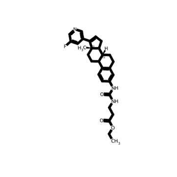 CCOC(=O)CCNC(=O)Nc1ccc2c(c1)CC[C@@H]1C2CC[C@]2(C)C(c3cncc(F)c3)=CCC12